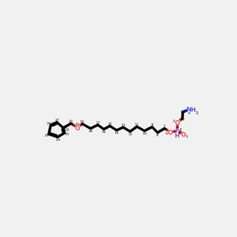 NCCO[PH](=O)OCCCCCCCCCCCCCOCc1ccccc1